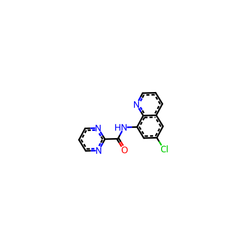 O=C(Nc1cc(Cl)cc2cccnc12)c1ncccn1